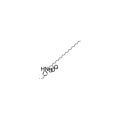 [CH2]Cc1ccc(NC(=O)CC(CCCCCCCCCCCCCCCCCC)C(=O)OC)cc1